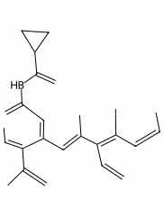 C=CC(/C(C)=C/C(=C/C(=C)BC(=C)C1CC1)C(=C\C)/C(=C)C)=C(C)\C=C/C